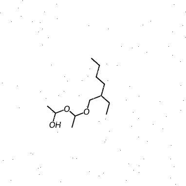 CCCCC(CC)COC(C)OC(C)O